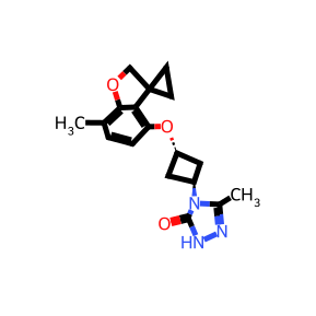 Cc1ccc(O[C@H]2C[C@H](n3c(C)n[nH]c3=O)C2)c2c1OCC21CC1